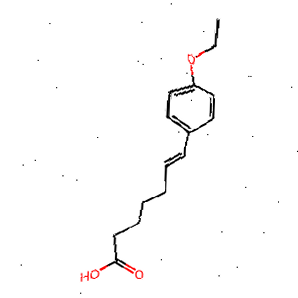 CCOc1ccc(C=CCCCCC(=O)O)cc1